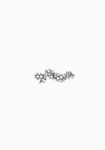 CC(C)C1=C2C(CC[C@]3(C)[C@@H]2CCC2[C@@]4(C)CC[C@H](OC(=O)CC(C)(C)C(=O)O)C(C)(C)C4CC[C@]23C)[C@H](CCN(Cc2ccccc2)C(=O)CN(C)C)C1=O